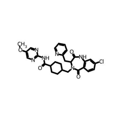 COc1cnc(NC(=O)C2CCC(CN3C(=O)c4ccc(Cl)cc4NC(=O)C3Cc3ccccn3)CC2)nc1